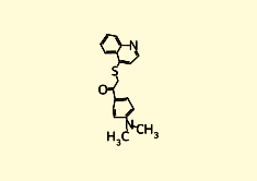 CN(C)c1ccc(C(=O)CSc2ccnc3ccccc23)cc1